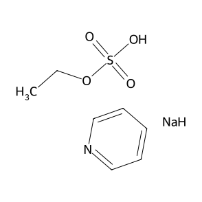 CCOS(=O)(=O)O.[NaH].c1ccncc1